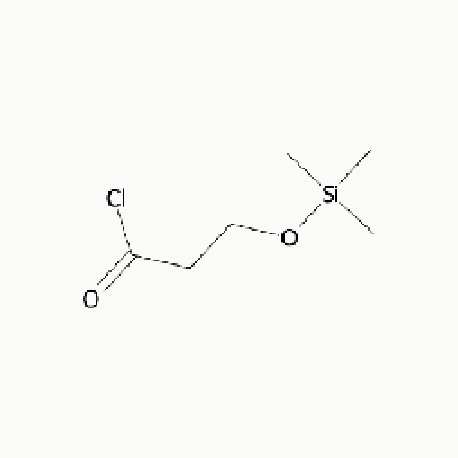 C[Si](C)(C)OCCC(=O)Cl